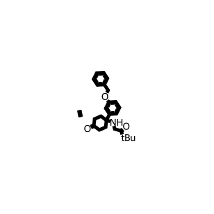 C=C.CC(C)(C)C(=O)CNC1(c2cccc(OCc3ccccc3)c2)CCC(=O)CC1